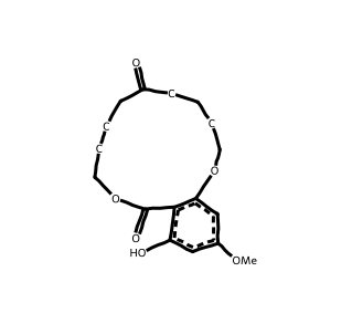 COc1cc(O)c2c(c1)OCCCCC(=O)CCCCOC2=O